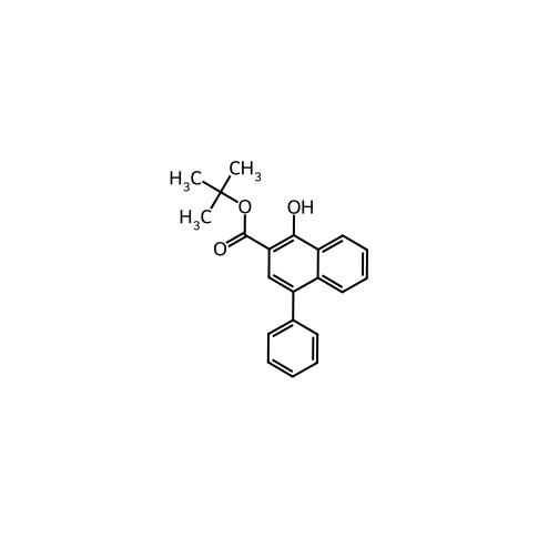 CC(C)(C)OC(=O)c1cc(-c2ccccc2)c2ccccc2c1O